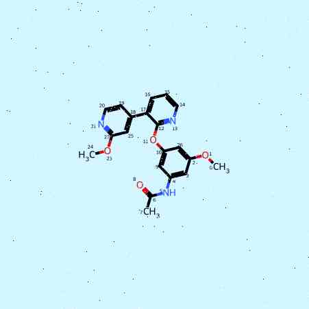 COc1cc(NC(C)=O)cc(Oc2ncccc2-c2ccnc(OC)c2)c1